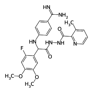 COc1cc(F)c(C(Nc2ccc(C(=N)N)cc2)C(=O)NNC(=O)c2ncccc2C)cc1OC